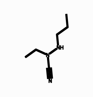 CCCNN(C#N)CC